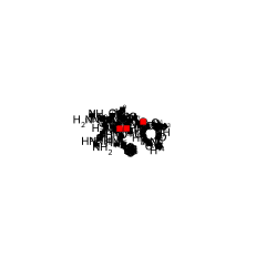 CC[C@@H](C)[C@@H](NC(=O)[C@@H](CCCNC(=N)N)NC(=O)[C@H](CCCNC(=N)N)NC(=O)[C@@H](NC(=O)[C@@H](CCc1ccccc1)NC)[C@@H](C)CC)C(=O)N[C@H](C(=O)N[C@@H](CO)C(=O)N[C@H]1C(=O)N[C@@H](C)C(=O)N[C@@H](CC(C)C)C(=O)N[C@@H]([C@@H](C)CC)C(=O)O[C@H]1C)[C@@H](C)CC